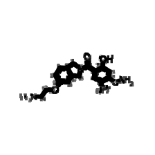 CC(C)c1cc(C(=O)N2Cc3ccc(OCCN)cc3C2)c(O)cc1ON